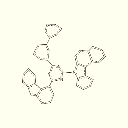 c1ccc(-c2cccc(-c3nc(-c4cccc5sc6ccccc6c45)nc(-n4c5ccccc5c5c6ccccc6ccc54)n3)c2)cc1